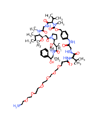 CC[C@H](C)[C@@H]([C@@H](CC(=O)N1CCC[C@H]1[C@H](OC)[C@@H](C)C(=O)N[C@H](C)[C@@H](O)c1ccccc1)OC)N(C)C(=O)CNC(=O)C(C(C)C)N(C)C(=O)OCc1ccc(NC(=O)CNC(=O)C(NC(=O)CCOCCOCCOCCOCCOCCOCCN)C(C)C)cc1